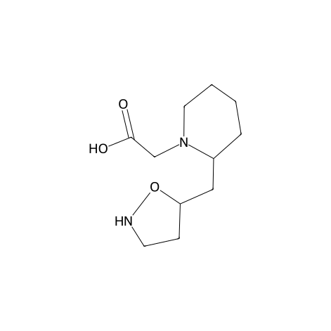 O=C(O)CN1CCCCC1CC1CCNO1